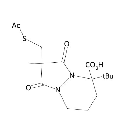 CC(=O)SCC1(C)C(=O)N2CCCC(C(=O)O)(C(C)(C)C)N2C1=O